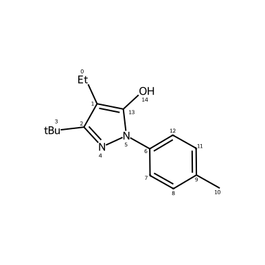 CCc1c(C(C)(C)C)nn(-c2ccc(C)cc2)c1O